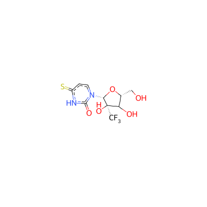 O=c1[nH]c(=S)ccn1[C@@H]1O[C@H](CO)C(O)[C@]1(O)C(F)(F)F